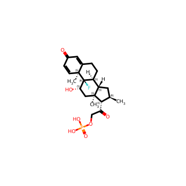 C[C@@H]1C[C@H]2[C@@H]3CCC4=CC(=O)C=C[C@]4(C)[C@@]3(F)[C@@H](O)C[C@]2(C)[C@H]1C(=O)COP(=O)(O)O